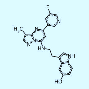 Cc1cnn2c(NCCc3c[nH]c4ccc(O)cc34)cc(-c3cncc(F)c3)nc12